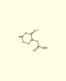 O=C(O)CN1CCNCC1=O